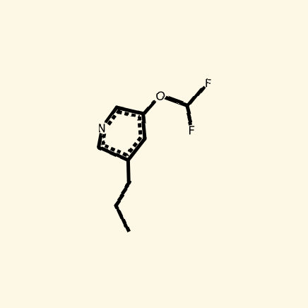 CCCc1cncc(OC(F)F)c1